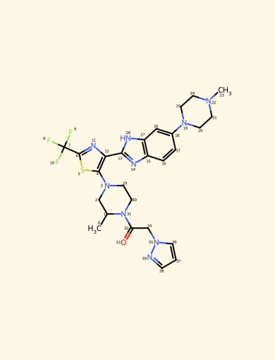 CC1CN(c2sc(C(F)(F)F)nc2-c2nc3ccc(N4CCN(C)CC4)cc3[nH]2)CCN1C(=O)Cn1cccn1